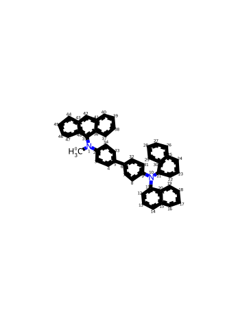 CN(c1ccc(-c2ccc(N(c3cccc4ccccc34)c3cccc4ccccc34)cc2)cc1)c1c2ccccc2cc2ccccc12